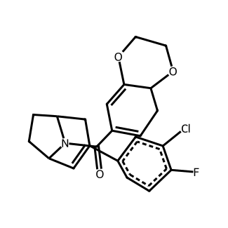 O=C(C1=CCC2OCCOC2=C1)N1C2C=C(c3ccc(F)c(Cl)c3)CC1CC2